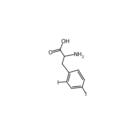 NC(Cc1ccc(I)cc1I)C(=O)O